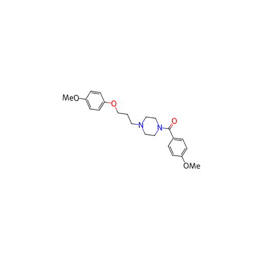 COc1ccc(OCCCN2CCN(C(=O)c3ccc(OC)cc3)CC2)cc1